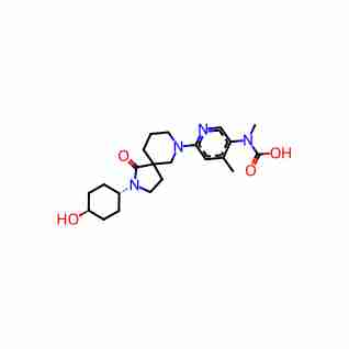 Cc1cc(N2CCCC3(CCN([C@H]4CC[C@H](O)CC4)C3=O)C2)ncc1N(C)C(=O)O